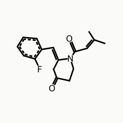 CC(C)=CC(=O)N1CCC(=O)C/C1=C\c1ccccc1F